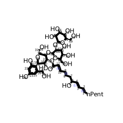 CCCCC/C=C/C=C/C(O)C/C=C/C=C/C(=O)O[C@@H]1[C@@H](O)[C@H](c2c(O)cc(O)cc2CO)O[C@H](CO)[C@H]1O[C@@H]1O[C@H](CO)[C@H](O)[C@H](O)[C@H]1O[C@@H]1O[C@H](CO)[C@H](O)[C@H](O)[C@H]1O